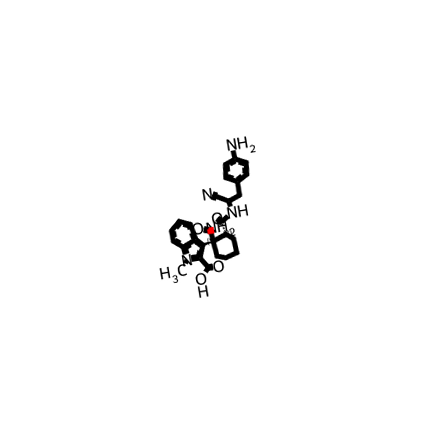 Cn1c(C(=O)O)c([C@]2(C(N)=O)CCCC[C@H]2C(=O)NC(C#N)Cc2ccc(N)cc2)c2ccccc21